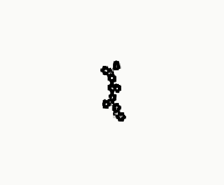 c1ccc(-n2c3ccccc3c3cc(-c4ccc(-c5ccc6c(c5)c5ccccc5n6-c5ccc6c(c5)sc5ccccc56)c5ccccc45)ccc32)cc1